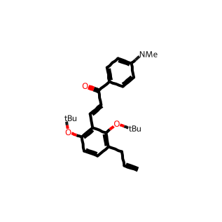 C=CCc1ccc(OC(C)(C)C)c(C=CC(=O)c2ccc(NC)cc2)c1OC(C)(C)C